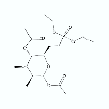 CCOP(=O)(CC[C@H]1OC(OC(C)=O)[C@@H](C)[C@@H](C)[C@@H]1OC(C)=O)OCC